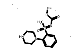 CC(C)(C)OC(=O)N=S(C)(=O)c1ccccc1N1CCNCC1